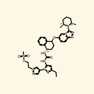 CCc1cc(NC(=O)N[C@H]2CCC(Oc3ccc4nnc(N5[C@H](C)CCC[C@@H]5C)n4c3)c3ccccc32)n(-c2cnn(CCOS(C)(=O)=O)c2)n1